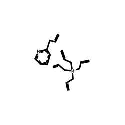 C=CC[N+](CC=C)(CC=C)CC=C.C=CCc1ccccn1